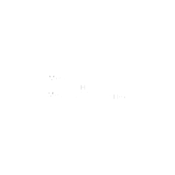 CCCCCCCCC[SiH2]OC(COC)OC